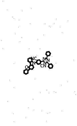 N#Cc1cc(-n2c3ccccc3c3c4oc5ccccc5c4ccc32)c(C#N)cc1-c1nc(-c2ccccc2)nc(-c2ccccc2)n1